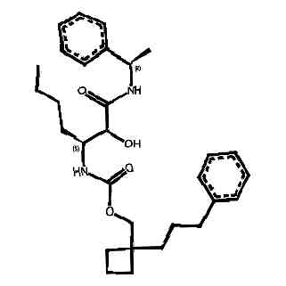 CCCC[C@H](NC(=O)OCC1(CCCc2ccccc2)CCC1)C(O)C(=O)N[C@H](C)c1ccccc1